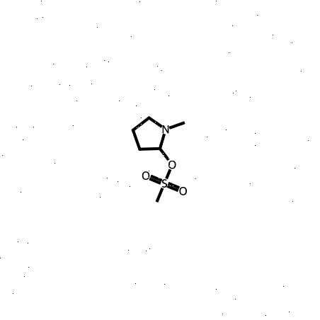 CN1CCCC1OS(C)(=O)=O